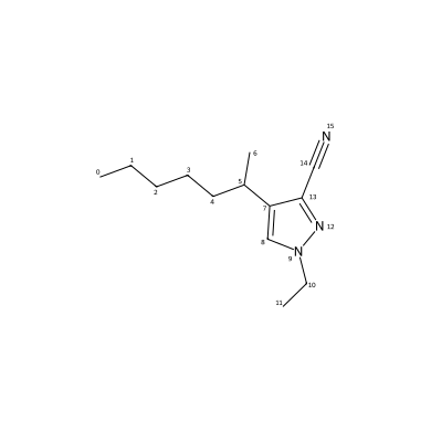 CCCCCC(C)c1cn(CC)nc1C#N